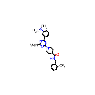 CNc1nc(-c2cccc(N(C)C)c2)nc(N2CCC(C(=O)NCc3ccccc3C(F)(F)F)CC2)n1